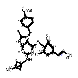 COc1ccc(Cn2c(C)nc3nc(NC45CC(C#N)(C4)C5)nc(Oc4c(Cl)cc(/C=C/C#N)cc4Cl)c32)cc1